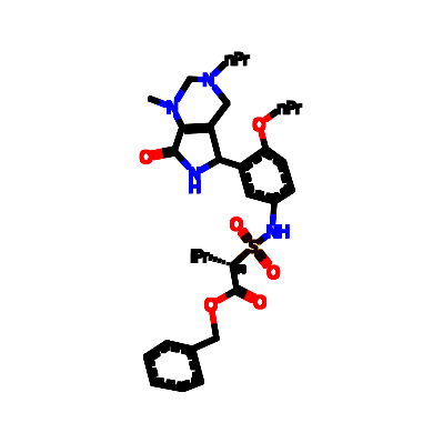 CCCOc1ccc(NS(=O)(=O)[C@H](C(=O)OCc2ccccc2)C(C)C)cc1C1NC(=O)C2=C1CN(CCC)CN2C